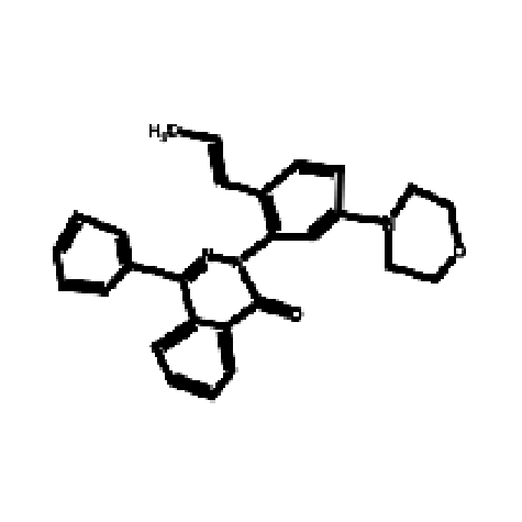 CC=Cc1ccc(N2CCOCC2)cc1-n1nc(-c2ccccc2)c2ccccc2c1=O